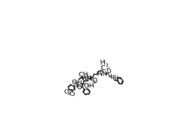 CC(C)CN(C(O)(CCNC(=O)CCCC(C)NC(=O)CNCc1ccccc1)Cc1ccccc1)S(=O)(=O)c1ccc2c(c1)OCO2